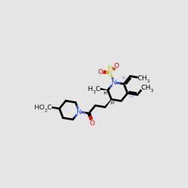 C/C=C1/C[C@@H](CCC(=O)N2CCC(C(=O)O)CC2)[C@@H](C)N([SH](=O)=O)/C1=C/C